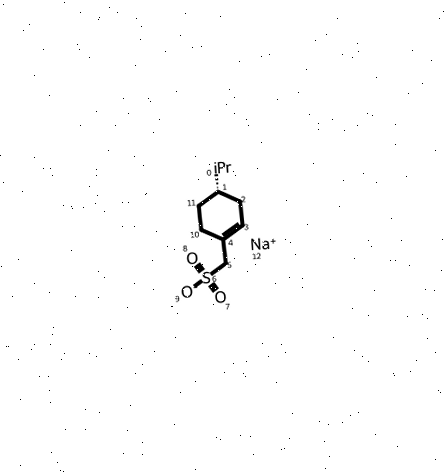 CC(C)[C@@H]1CC=C(CS(=O)(=O)[O-])CC1.[Na+]